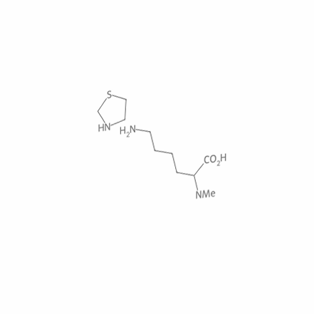 C1CSCN1.CNC(CCCCN)C(=O)O